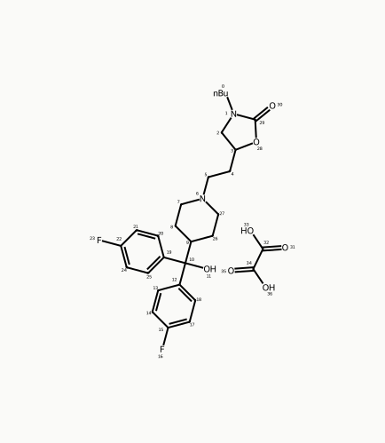 CCCCN1CC(CCN2CCC(C(O)(c3ccc(F)cc3)c3ccc(F)cc3)CC2)OC1=O.O=C(O)C(=O)O